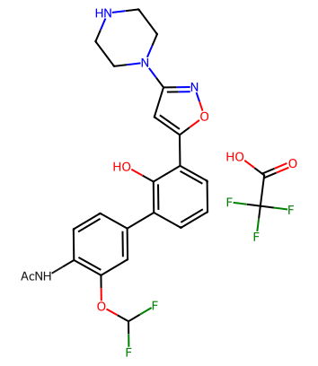 CC(=O)Nc1ccc(-c2cccc(-c3cc(N4CCNCC4)no3)c2O)cc1OC(F)F.O=C(O)C(F)(F)F